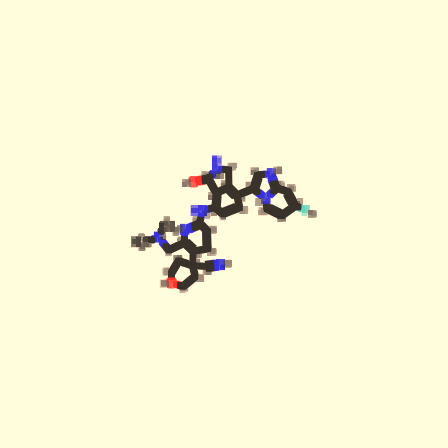 CN(C)Cc1nc(Nc2ccc(-c3cnc4cc(F)ccn34)c3c2C(=O)NC3)ccc1C1(C#N)CCOCC1